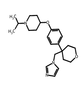 CC(C)N1CCC(Oc2ccc(C3(Cn4ccnc4)CCOCC3)cc2)CC1